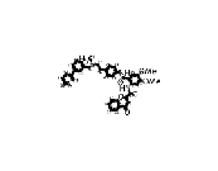 COc1cc(NC(=O)c2cc(=O)c3ccccc3o2)c(C(=O)Nc2ccc(CCN(C)Cc3cccc(-c4cccnc4)c3)cc2)cc1OC